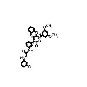 COc1cc(Nc2nc3ccccc3nc2N(c2cccc(NC(=O)CNc3cccc(Cl)c3)c2)[SH](=O)=O)cc(OC)c1